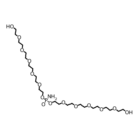 NP(=O)(OCCOCCOCCOCCOCCOCCO)OCCOCCOCCOCCOCCOCCO